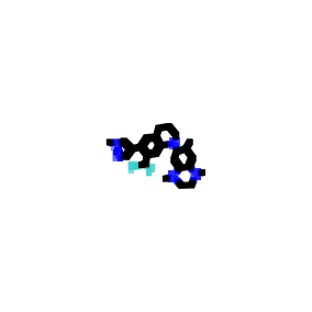 CC1C=C2C(=CC1N1CCCc3cc(-c4cnn(C)c4)c(C(F)F)cc31)N(C)CCN2C